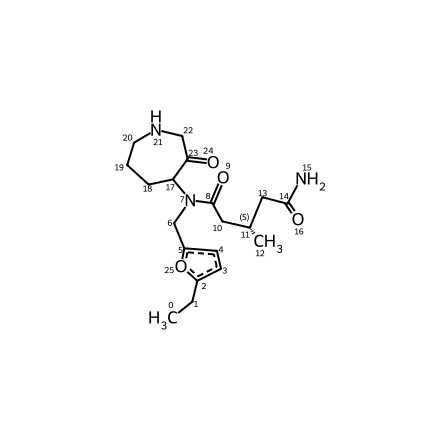 CCc1ccc(CN(C(=O)C[C@@H](C)CC(N)=O)C2CCCNCC2=O)o1